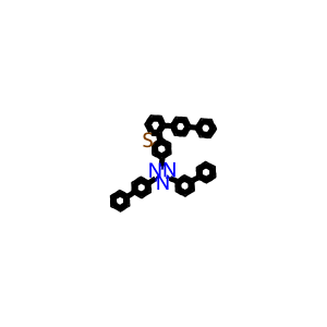 c1ccc(-c2ccc(-c3nc(-c4cccc(-c5ccccc5)c4)nc(-c4ccc5c(c4)sc4cccc(-c6ccc(-c7ccccc7)cc6)c45)n3)cc2)cc1